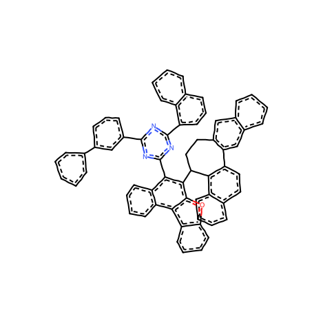 c1ccc(-c2cccc(-c3nc(-c4cccc5ccccc45)nc(-c4c(C5CCc6cc7ccccc7cc6-c6ccc7ccccc7c65)c5oc6ccccc6c5c5ccccc45)n3)c2)cc1